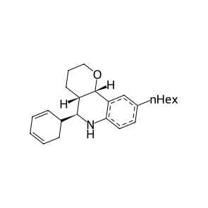 CCCCCCc1ccc2c(c1)[C@H]1OCCC[C@H]1[C@H](C1C=CC=CC1)N2